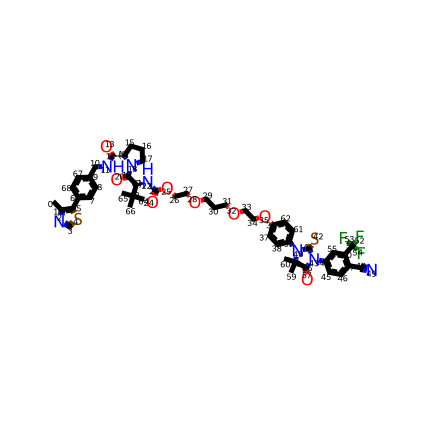 Cc1ncsc1-c1ccc(CNC(=O)[C@@H]2CCCN2C(=O)[C@@H](NC(=O)OCCOCCCOCCOc2ccc(N3C(=S)N(c4ccc(C#N)c(C(F)(F)F)c4)C(=O)C3(C)C)cc2)C(C)(C)C)cc1